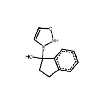 OC1(N2C=CON2)CCc2ccccc21